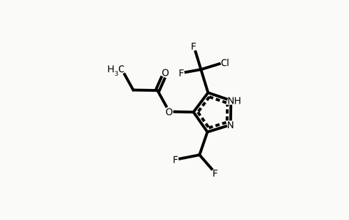 CCC(=O)Oc1c(C(F)F)n[nH]c1C(F)(F)Cl